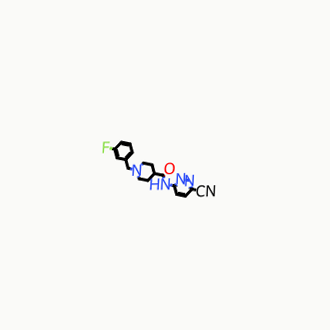 N#Cc1ccc(NC(=O)C2CCN(Cc3cccc(F)c3)CC2)nn1